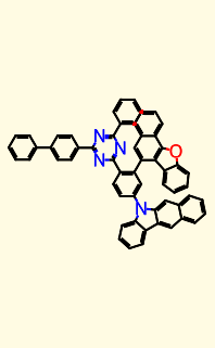 c1ccc(-c2ccc(-c3nc(-c4ccccc4)nc(-c4ccc(-n5c6ccccc6c6cc7ccccc7cc65)cc4-c4cc5ccccc5c5oc6ccccc6c45)n3)cc2)cc1